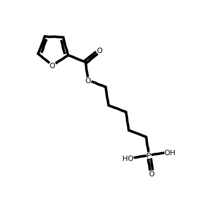 O=C(OCCCCCP(=O)(O)O)c1ccco1